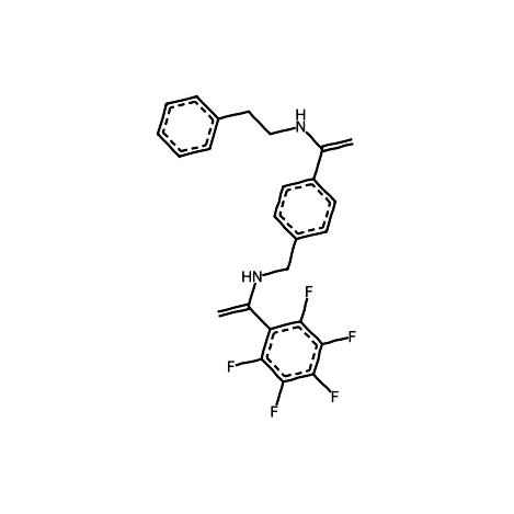 C=C(NCCc1ccccc1)c1ccc(CNC(=C)c2c(F)c(F)c(F)c(F)c2F)cc1